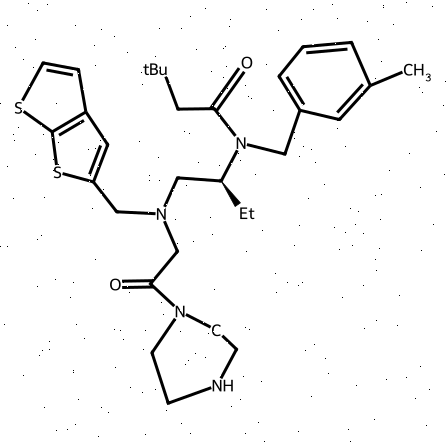 CC[C@@H](CN(CC(=O)N1CCNCC1)Cc1cc2ccsc2s1)N(Cc1cccc(C)c1)C(=O)CC(C)(C)C